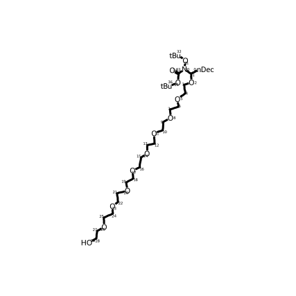 CCCCCCCCCCC(OCCOCCOCCOCCOCCOCCOCCOCCOCCO)N(OC(C)(C)C)C(=O)OC(C)(C)C